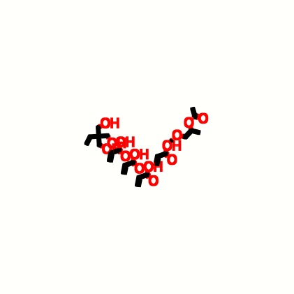 C=CC(=O)O.C=CC(=O)O.C=CC(=O)O.C=CC(=O)O.CCC(CO)(CO)CO.COCC(C)OC(C)=O